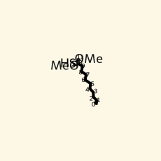 C=CCCCCCCCC[SiH](OC)OC